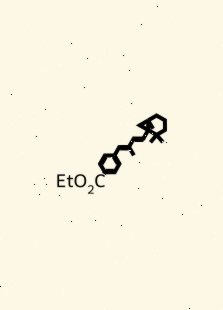 CCOC(=O)c1ccc(/C=C(\C)C=CC23CC2(C)CCCC3(C)C)cc1